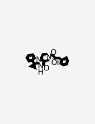 O=C([C@H](O)Cc1ccccc1)N1CCc2nc(C3(c4ccccc4)CC3)[nH]c(=O)c2C1